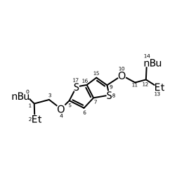 CCCCC(CC)COc1cc2sc(OCC(CC)CCCC)cc2s1